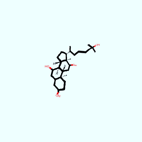 CC(CCCC(C)(C)O)[C@H]1CC[C@H]2[C@@H]3C(O)CC4CC(O)CC[C@]4(C)[C@H]3CC(O)[C@]12C